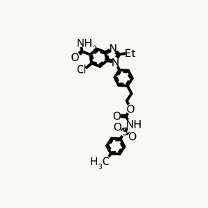 CCc1nc2cc(C(N)=O)c(Cl)cc2n1-c1ccc(CCOC(=O)NS(=O)(=O)c2ccc(C)cc2)cc1